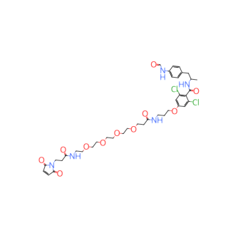 CC(Cc1ccc(NC=O)cc1)NC(=O)c1c(Cl)cc(OCCCNC(=O)CCOCCOCCOCCOCCNC(=O)CCN2C(=O)C=CC2=O)cc1Cl